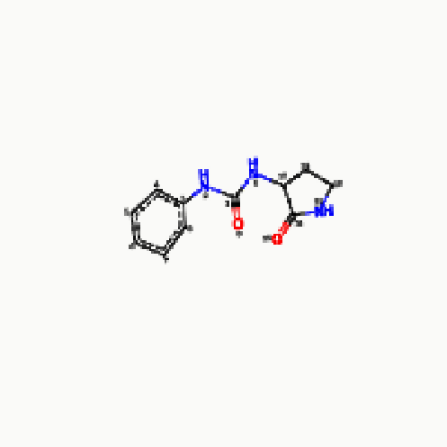 O=C(Nc1ccccc1)NC1CCNC1=O